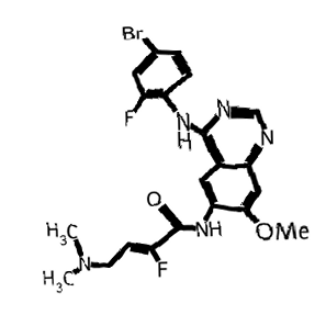 COc1cc2ncnc(Nc3ccc(Br)cc3F)c2cc1NC(=O)C(F)=CCN(C)C